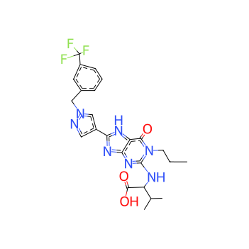 CCCn1c(NC(C(=O)O)C(C)C)nc2nc(-c3cnn(Cc4cccc(C(F)(F)F)c4)c3)[nH]c2c1=O